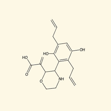 C=CCc1cc(O)c(CC=C)c(C2NCCOC2C(=C)C(=O)O)c1O